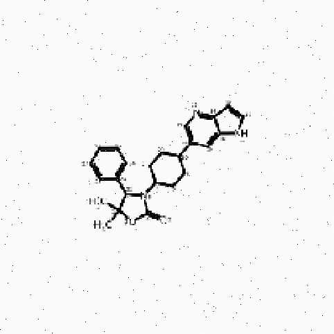 CC1(C)OC(=O)N(C2CCC(c3cnc4cc[nH]c4c3)CC2)C1c1ccccc1